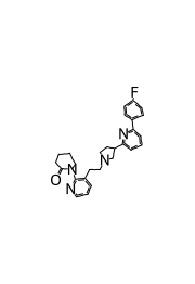 O=C1CCCCN1c1ncccc1CCN1CCC(c2cccc(-c3ccc(F)cc3)n2)C1